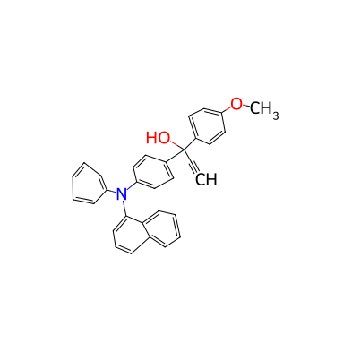 C#CC(O)(c1ccc(OC)cc1)c1ccc(N(c2ccccc2)c2cccc3ccccc23)cc1